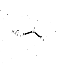 C.FSF